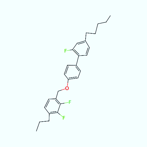 CCCCCc1ccc(-c2ccc(OCc3ccc(CCC)c(F)c3F)cc2)c(F)c1